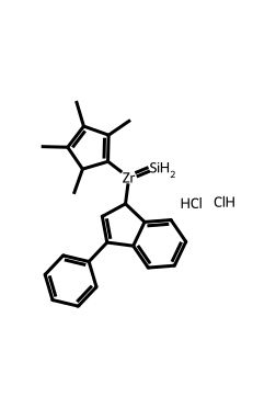 CC1=C(C)C(C)[C]([Zr](=[SiH2])[CH]2C=C(c3ccccc3)c3ccccc32)=C1C.Cl.Cl